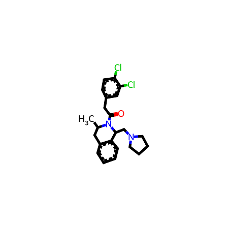 CC1Cc2ccccc2C(CN2CCCC2)N1C(=O)Cc1ccc(Cl)c(Cl)c1